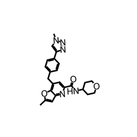 Cc1cc2nc(C(=O)NC3CCOCC3)cc(Cc3ccc(-c4cn(C)nn4)cc3)c2o1